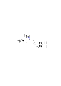 C=CC(=O)OC(C)(C)COc1ccc(C(=O)Oc2ccc(CCOC(=O)c3ccc(OC(C)(C)CC(C)(C)OC(=O)C=C)cc3)cc2/C=N/Nc2nc3ccc(Cl)cc3s2)cc1